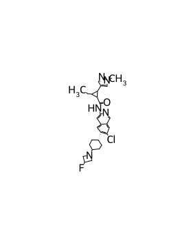 CCC1C(C(=O)Nc2cc3cc([C@H]4CC[C@H](N5CC(F)C5)CC4)c(Cl)cc3cn2)C1c1cnn(C)c1